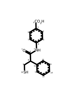 O=C(O)c1ccc(NC(=O)C(CS)c2ccccc2)cc1